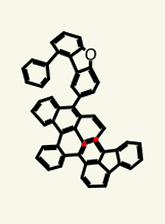 c1ccc(-c2cccc3oc4ccc(-c5c6ccccc6c(-c6ccccc6-c6ccc7c8c(cccc68)-c6ccccc6-7)c6ccccc56)cc4c23)cc1